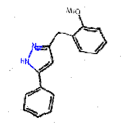 COc1ccccc1Cc1cc(-c2ccccc2)[nH]n1